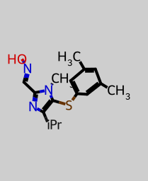 Cc1cc(C)cc(Sc2c(C(C)C)nc(C=NO)n2C)c1